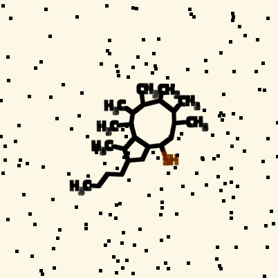 CCCCC1CC2C(S)CC(C)C(C)C(C)C(C)C(C)C(C)C2C1C